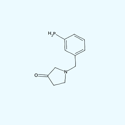 O=C1CCN(Cc2cccc(P)c2)C1